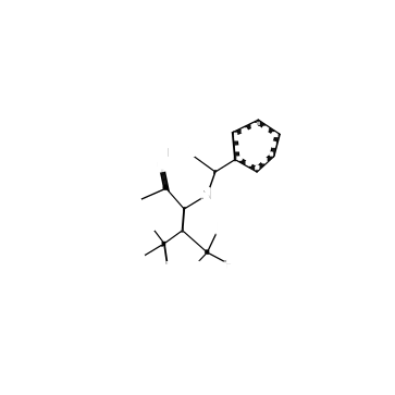 CC(=O)C(NC(C)c1ccccc1)C(C(F)(F)F)C(F)(F)F